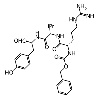 CC(C)[C@H](NC(=O)[C@H](CCCNC(=N)N)NC(=O)OCc1ccccc1)C(=O)N[C@H](C=O)Cc1ccc(O)cc1